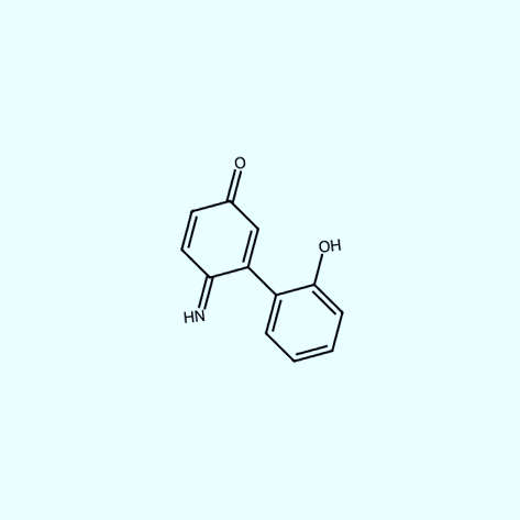 N=C1C=CC(=O)C=C1c1ccccc1O